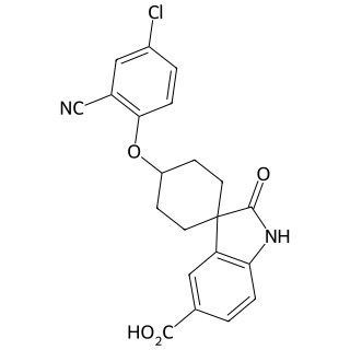 N#Cc1cc(Cl)ccc1OC1CCC2(CC1)C(=O)Nc1ccc(C(=O)O)cc12